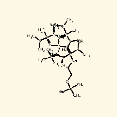 CN(C)P(C)(=N[PH](N=P(C)(C)C)(N=P(C)(N(C)C)N(C)C)N=P(NCCO[Si](C)(C)C(C)(C)C)(N(C)C)N(C)C)N(C)C